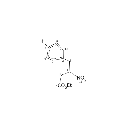 CCOC(=O)CC(Cc1ccc(C)cc1)[N+](=O)[O-]